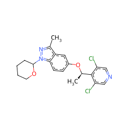 Cc1nn(C2CCCCO2)c2ccc(O[C@H](C)c3c(Cl)cncc3Cl)cc12